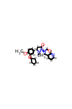 COc1ccc([C@@H]2CC(=O)N(N(C=O)Cc3cccnc3)N2C)cc1OC1CCCC1